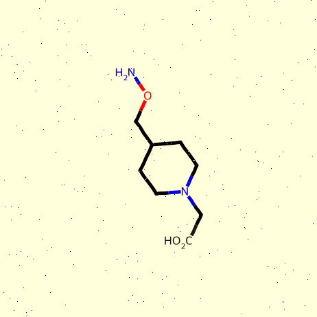 NOCC1CCN(CC(=O)O)CC1